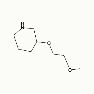 COCCOC1CCCNC1